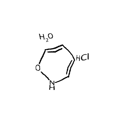 C1=CNOC=C1.Cl.O